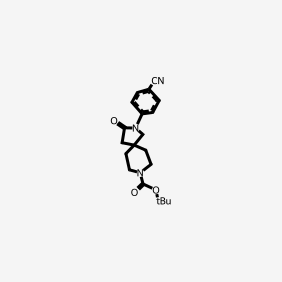 CC(C)(C)OC(=O)N1CCC2(CC1)CC(=O)N(c1ccc(C#N)cc1)C2